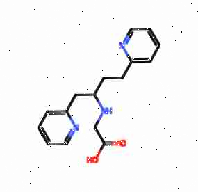 O=C(O)CNC(CCc1ccccn1)Cc1ccccn1